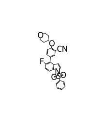 N#Cc1cc(-c2c(F)ccc3c2ccn3S(=O)(=O)c2ccccc2)ccc1OC1CCOCC1